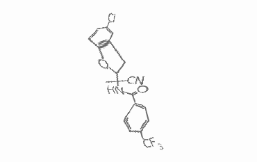 CC(C#N)(NC(=O)c1ccc(C(F)(F)F)cc1)C1Cc2cc(Cl)ccc2O1